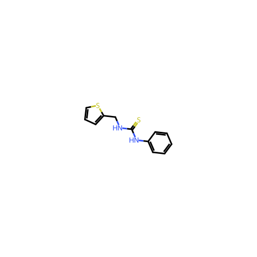 S=C(NCc1cccs1)Nc1ccccc1